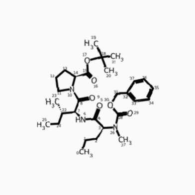 CCC[C@@H](C(=O)N[C@H](C(=O)N1CCC[C@H]1C(=O)OC(C)(C)C)[C@@H](C)CC)N(C)C(=O)OCc1ccccc1